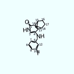 O=c1[nH]cc(Nc2cccc(F)c2)c2c1C1CCC2C1